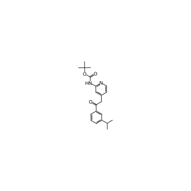 CC(C)c1cccc(C(=O)Cc2ccnc(NC(=O)OC(C)(C)C)c2)c1